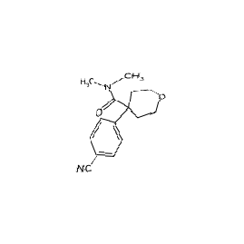 CN(C)C(=O)C1(c2ccc(C#N)cc2)CCOCC1